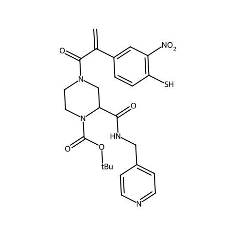 C=C(C(=O)N1CCN(C(=O)OC(C)(C)C)C(C(=O)NCc2ccncc2)C1)c1ccc(S)c([N+](=O)[O-])c1